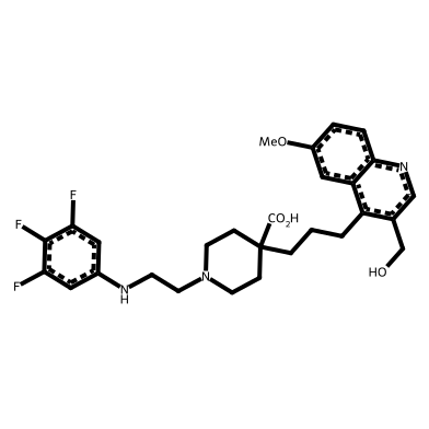 COc1ccc2ncc(CO)c(CCCC3(C(=O)O)CCN(CCNc4cc(F)c(F)c(F)c4)CC3)c2c1